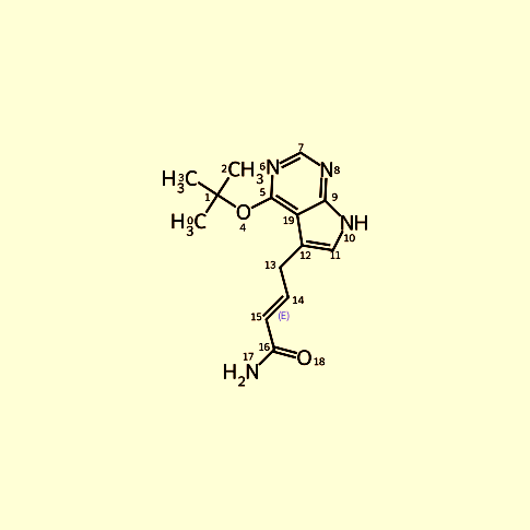 CC(C)(C)Oc1ncnc2[nH]cc(C/C=C/C(N)=O)c12